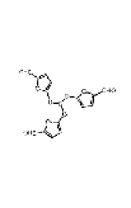 O=Cc1ccc(OB(Oc2ccc(C=O)o2)Oc2ccc(C=O)o2)o1